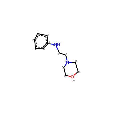 [c]1ccc(NCCN2CCOCC2)cc1